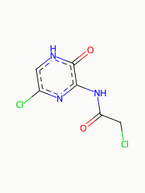 O=C(CCl)Nc1nc(Cl)c[nH]c1=O